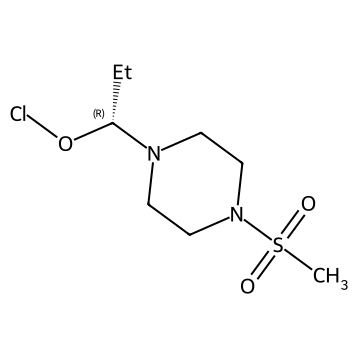 CC[C@@H](OCl)N1CCN(S(C)(=O)=O)CC1